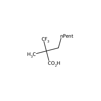 CCCCCCC(C)(C(=O)O)C(F)(F)F